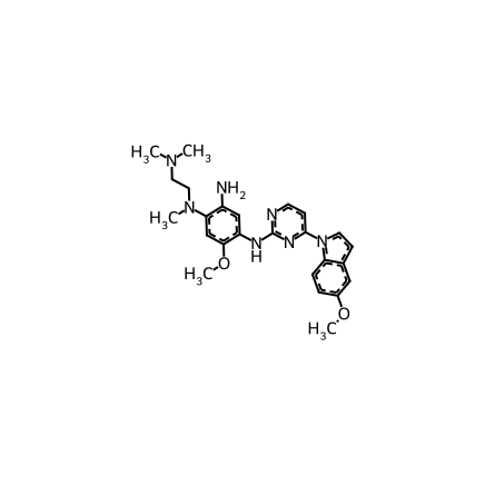 COc1ccc2c(ccn2-c2ccnc(Nc3cc(N)c(N(C)CCN(C)C)cc3OC)n2)c1